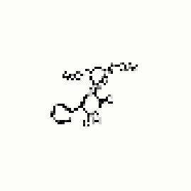 CC(=O)OC[C@@H]1C[C@@H](OC(C)=O)[C@H](n2cc(-c3ccccc3)c(=O)[nH]c2=O)O1